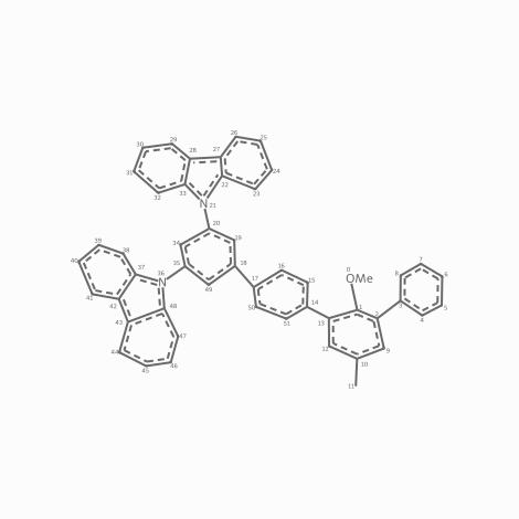 COc1c(-c2ccccc2)cc(C)cc1-c1ccc(-c2cc(-n3c4ccccc4c4ccccc43)cc(-n3c4ccccc4c4ccccc43)c2)cc1